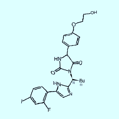 CC[C@H](C)[C@@H](c1ncc(-c2ccc(I)cc2F)[nH]1)N1C(=O)NC(c2ccc(OCCO)cc2)C1=O